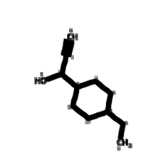 C#CC(O)C1CCC(CC)CC1